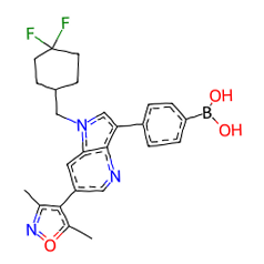 Cc1noc(C)c1-c1cnc2c(-c3ccc(B(O)O)cc3)cn(CC3CCC(F)(F)CC3)c2c1